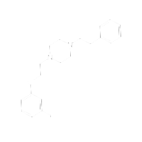 FC(F)(F)c1cccc(OCCN2CCN(CCc3ccccc3)CC2)c1